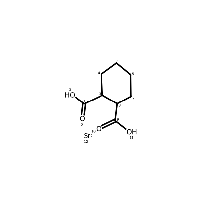 O=C(O)C1CCCCC1C(=O)O.[Sr]